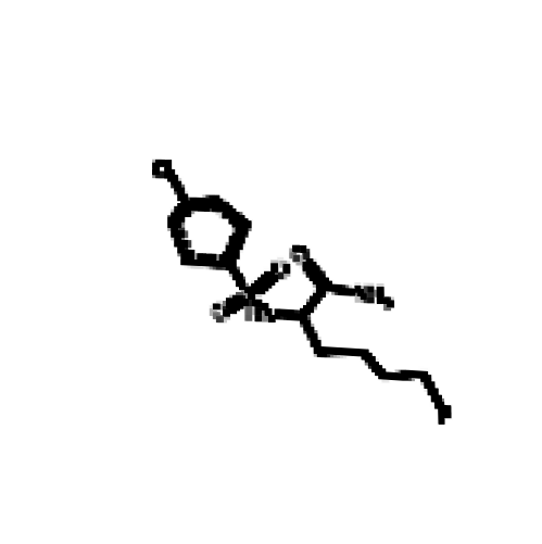 NC(=O)C(CCCCF)NS(=O)(=O)c1ccc(Cl)cc1